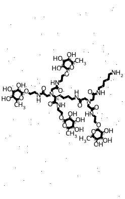 C[C@@H]1O[C@@H](OCCNC(=O)CN(CC(=O)NCCO[C@@H]2O[C@@H](C)[C@@H](O)[C@@H](O)[C@@H]2O)[C@@H](CCCCNC(=O)CN(CC(=O)NCCCCCN)CC(=O)NCCO[C@H]2O[C@H](C)[C@H](O)[C@H](O)[C@H]2O)C(=O)NCCO[C@@H]2O[C@@H](C)[C@@H](O)[C@@H](O)[C@@H]2O)[C@@H](O)[C@H](O)[C@@H]1O